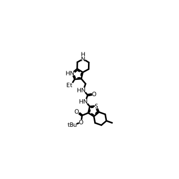 CCc1[nH]c2c(c1CNC(=O)Nc1sc3c(c1C(=O)OC(C)(C)C)CCC(C)C3)CCNC2